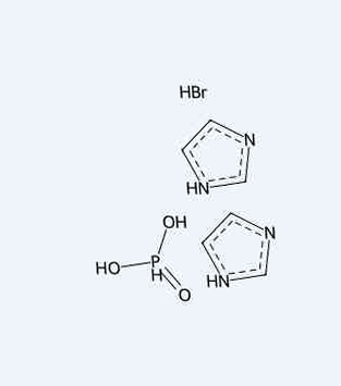 Br.O=[PH](O)O.c1c[nH]cn1.c1c[nH]cn1